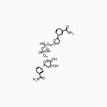 NC(=O)C1=CN([C@H]2CC[C@@H](COP(=O)(O)OP(=O)(O)OC[C@H]3O[C@@H](N4C=CCC(C(N)=O)=C4)C[C@H](O)[C@@H]3O)O2)C=CC1